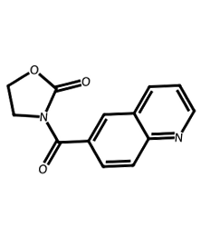 O=C1OCCN1C(=O)c1ccc2ncccc2c1